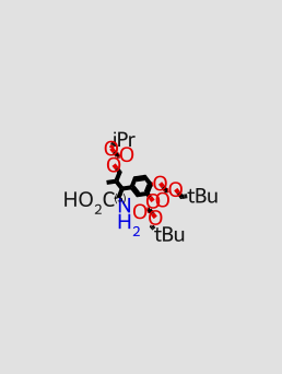 CC(C)OC(=O)OCC(C)C(c1ccc(OC(=O)OCC(C)(C)C)c(OC(=O)OCC(C)(C)C)c1)[C@H](N)C(=O)O